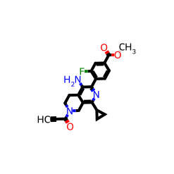 C#CC(=O)N1CCc2c(N)c(-c3ccc(C(=O)OC)cc3F)nc(C3CC3)c2C1